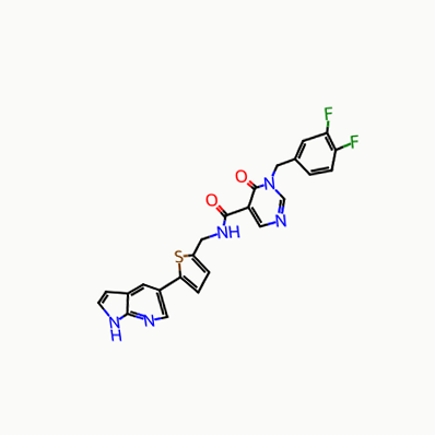 O=C(NCc1ccc(-c2cnc3[nH]ccc3c2)s1)c1cncn(Cc2ccc(F)c(F)c2)c1=O